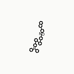 c1ccc(N(c2ccccc2)c2ccc(-c3ccccc3-c3ccccc3-c3ccc(-c4nc5cc(-c6ccc7ccccc7c6)ccc5o4)cc3)cc2)cc1